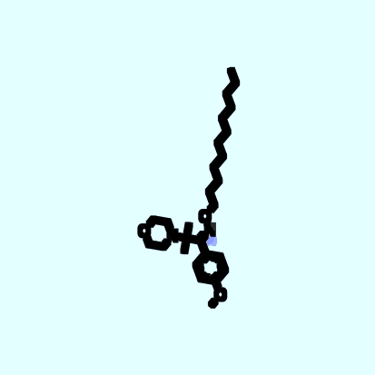 CCCCCCCCCCCCO/N=C(/c1ccc(OC)cc1)C(C)(C)N1CCOCC1